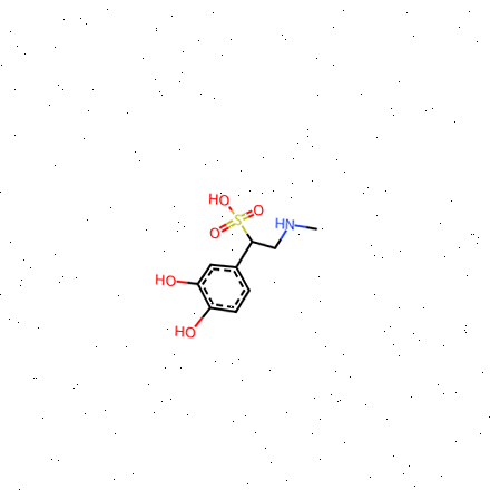 CNCC(c1ccc(O)c(O)c1)S(=O)(=O)O